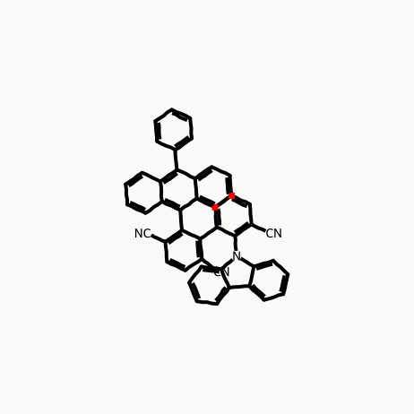 N#Cc1ccc(C#N)c(-c2c3ccccc3c(-c3ccccc3)c3ccccc23)c1-c1cccc(C#N)c1-n1c2ccccc2c2ccccc21